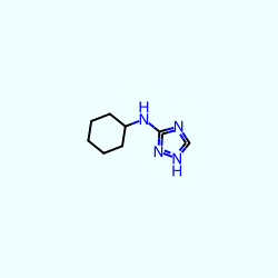 c1nc(NC2CCCCC2)n[nH]1